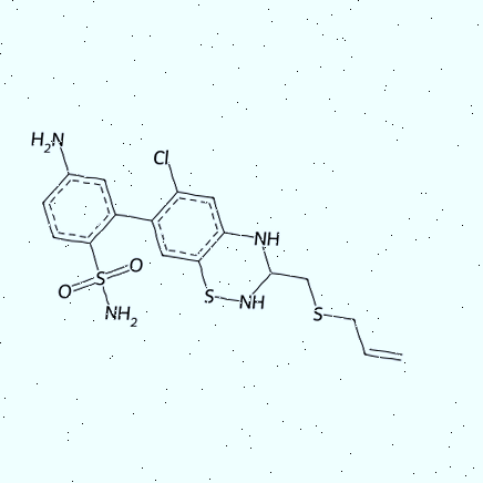 C=CCSCC1NSc2cc(-c3cc(N)ccc3S(N)(=O)=O)c(Cl)cc2N1